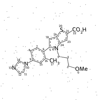 COCCCn1c(-c2ccc(-n3ccnc3)cc2C)cc2sc(C(=O)O)cc21